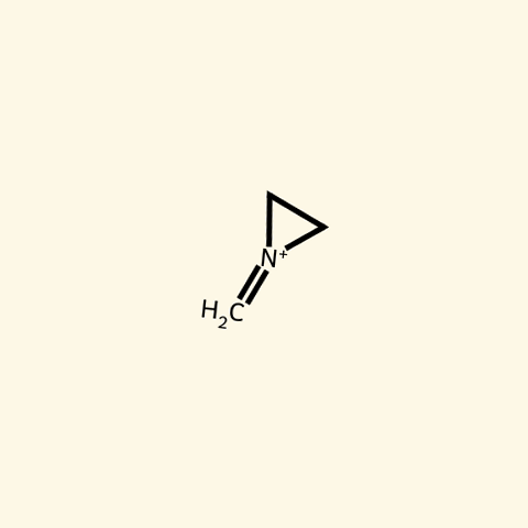 C=[N+]1CC1